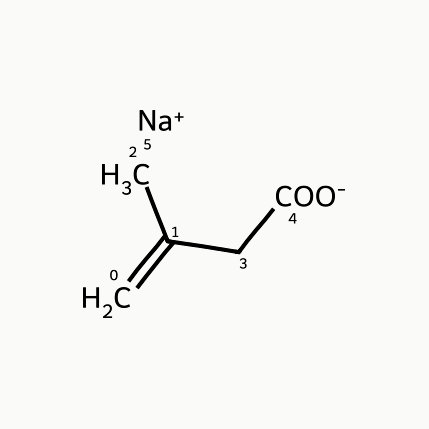 C=C(C)CC(=O)[O-].[Na+]